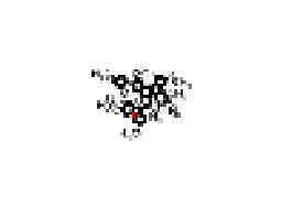 COc1ccc(C2(c3ccc(OC)cc3)C=Cc3c4c(c5cc(OC)c(-c6ccc(OC)cc6OC)cc5c3O2)-c2ccc(SC)cc2C42CC(C)(C)CC(C)(C)C2)cc1